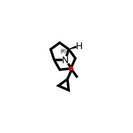 CC1CC2CC[C@H](C1)N2CC1CC1